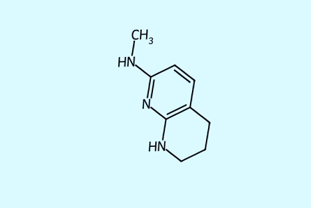 CNc1ccc2c(n1)NCCC2